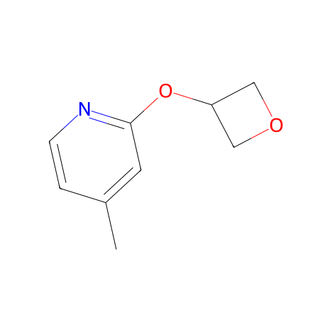 Cc1ccnc(OC2COC2)c1